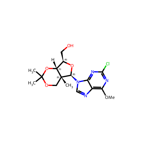 COc1nc(Cl)nc2c1ncn2[C@@H]1O[C@H](CO)[C@H]2OC(C)(C)OC[C@]21C